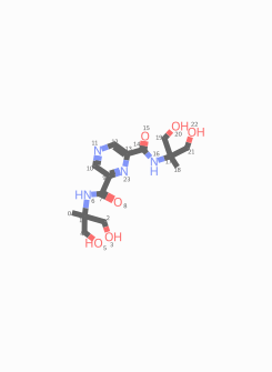 CC(CO)(CO)NC(=O)c1cncc(C(=O)NC(C)(CO)CO)n1